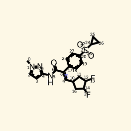 Cn1ccc(NC(=O)/C(=C/C2CC(F)C(F)C2)c2ccc(S(=O)(=O)C3CC3)cc2)n1